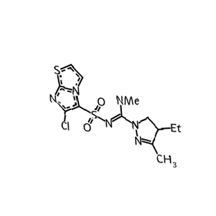 CCC1CN(/C(=N/S(=O)(=O)c2c(Cl)nc3sccn23)NC)N=C1C